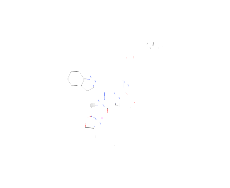 COCOC1CCN(C(=O)N[C@@H](CC(C)C)C(=O)N[C@H](Cc2c[nH]c3ccccc23)c2nc(C(=O)O)c(C)o2)CC1